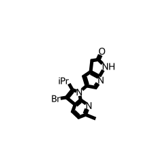 Cc1ccc2c(Br)c(C(C)C)n(-c3cnc4c(c3)CC(=O)N4)c2n1